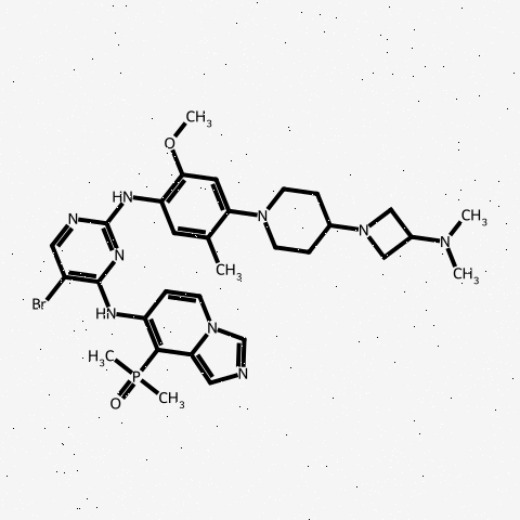 COc1cc(N2CCC(N3CC(N(C)C)C3)CC2)c(C)cc1Nc1ncc(Br)c(Nc2ccn3cncc3c2P(C)(C)=O)n1